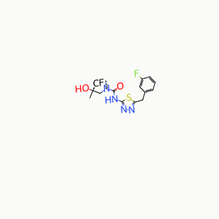 CN(C[C@](C)(O)C(F)(F)F)C(=O)Nc1nnc(Cc2cccc(F)c2)s1